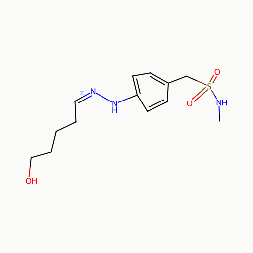 CNS(=O)(=O)Cc1ccc(N/N=C\CCCCO)cc1